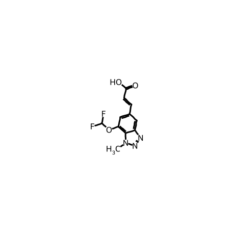 Cn1nnc2cc(/C=C/C(=O)O)cc(OC(F)F)c21